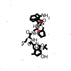 COC(=O)C12CC3CC(CC(N)(C3)C1C(=O)[C@H](Cc1ccccc1)NC(=O)CNC(=O)[C@@H](CCSC)NC(=O)C(Cc1c(C)cc(O)cc1C)NC(=O)OC(C)(C)C)C2